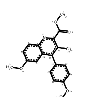 COC(=O)c1nc2ccc(OC)cc2c(-c2ccc(OC)cc2)c1C